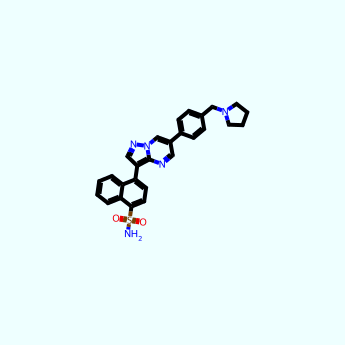 NS(=O)(=O)c1ccc(-c2cnn3cc(-c4ccc(CN5CCCC5)cc4)cnc23)c2ccccc12